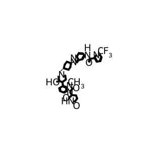 Cn1c(=O)n(C2CCC(=O)NC2=O)c2cccc(C3CCN(C[C@H]4CC[C@H](n5cc6cc(NC(=O)c7cccc(C(F)(F)F)n7)ccc6n5)CC4)CC3O)c21